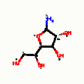 NC1O[C@H]([C@H](O)CO)[C@H](O)[C@H]1O